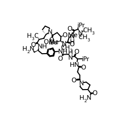 CC[C@H](C)[C@@H]([C@@H](CC(=O)N1CCC[C@H]1[C@H](OC)[C@@H](C)C(=O)N[C@H](CN)Cc1ccc(NC(=O)CNC(=O)C(NC(=O)CCC(=O)N2CCC(C(N)=O)CC2)C(C)C)cc1)OC)N(C)C(=O)CNC(=O)C(C(C)C)N(C)C